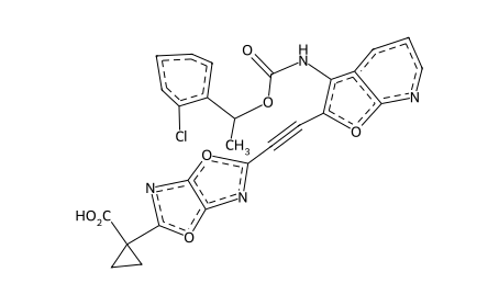 CC(OC(=O)Nc1c(C#Cc2nc3oc(C4(C(=O)O)CC4)nc3o2)oc2ncccc12)c1ccccc1Cl